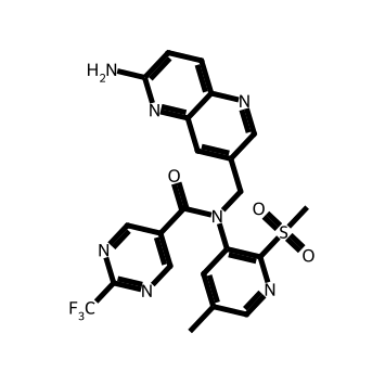 Cc1cnc(S(C)(=O)=O)c(N(Cc2cnc3ccc(N)nc3c2)C(=O)c2cnc(C(F)(F)F)nc2)c1